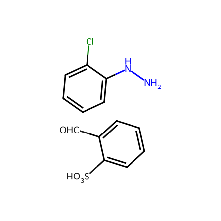 NNc1ccccc1Cl.O=Cc1ccccc1S(=O)(=O)O